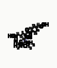 CC(C)(N)/C(N)=C/N[C@@H](CCCNO)C(=O)Nc1ccc(COO)cc1